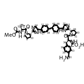 COC(=O)N[C@H](C(=O)N1CCC[C@H]1c1ncc(-c2ccc(-c3ccc(-c4cnc([C@@H]5CCCN5C(=O)[C@H](Cc5ccc(CN)cc5)NC(=O)O)[nH]4)cc3)cc2)[nH]1)C(C)C